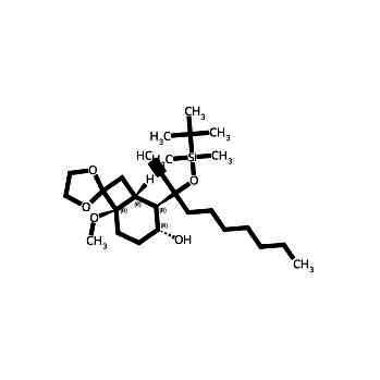 C#CC(CCCCCCC)(O[Si](C)(C)C(C)(C)C)[C@H]1[C@H](O)CC[C@@]2(OC)[C@@H]1CC21OCCO1